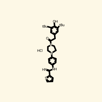 CC(C)(C)c1cc(CC(=O)N2CCN(c3ccc(NC(=N)c4cccs4)cc3)CC2)cc(C(C)(C)C)c1O.Cl